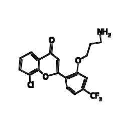 NCCCOc1cc(C(F)(F)F)ccc1-c1cc(=O)c2cccc(Cl)c2o1